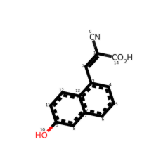 N#CC(=Cc1cccc2cc(O)ccc12)C(=O)O